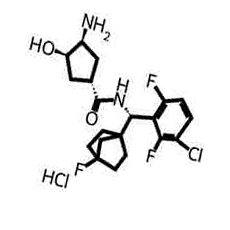 Cl.N[C@H]1C[C@H](C(=O)N[C@H](c2c(F)ccc(Cl)c2F)C23CCC(F)(CC2)C3)C[C@H]1O